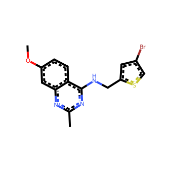 COc1ccc2c(NCc3cc(Br)cs3)nc(C)nc2c1